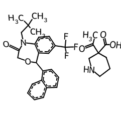 CC(=O)C1(C(=O)O)CCCNC1.CC(C)(C)CN1C(=O)COC(c2cccc3ccccc23)c2cc(C(F)(F)F)ccc21